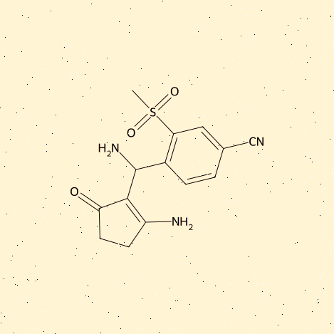 CS(=O)(=O)c1cc(C#N)ccc1C(N)C1=C(N)CCC1=O